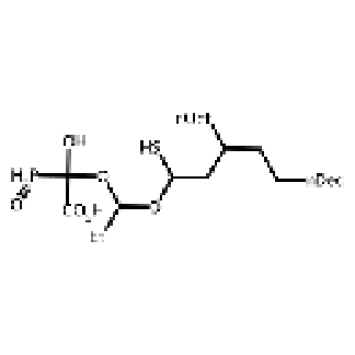 CCCCCCCCCCCCC(CCCCCCCC)CC(S)OC(CC)OC(O)([PH2]=O)C(=O)O